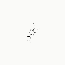 C#CCNC(CCC)=C1C(=O)CC(C2=CCCS(=S=O)C2)CC1O